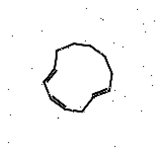 [CH]1/C=C\C=C\CCCCC/C=C/1